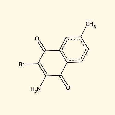 Cc1ccc2c(c1)C(=O)C(Br)=C(N)C2=O